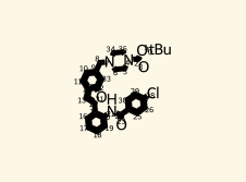 CC(C)(C)OC(=O)N1CCN(Cc2ccc3cc(-c4ccccc4NC(=O)c4ccc(Cl)cc4)oc3c2)CC1